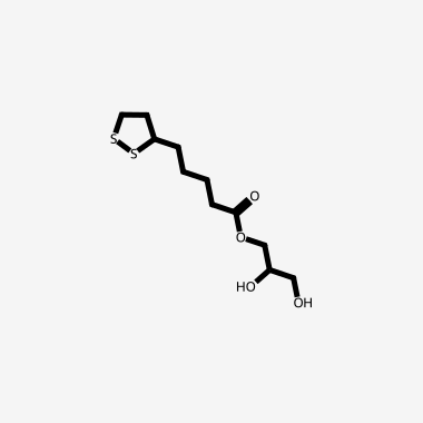 O=C(CCCCC1CCSS1)OCC(O)CO